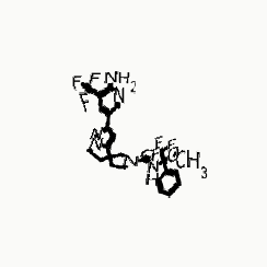 COC(NC(=O)N1CCC2(CCn3nc(-c4cnc(N)c(C(F)(F)F)c4)cc32)C1)(c1ccccc1)C(F)(F)F